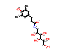 CC(C)(C)c1cc(CCC(=O)NCC(O)C(O)C(O)[C@H](O)CO)cc(C(C)(C)C)c1O